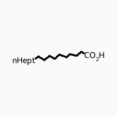 [CH2]CCCCCCCCCCCCCCCC(=O)O